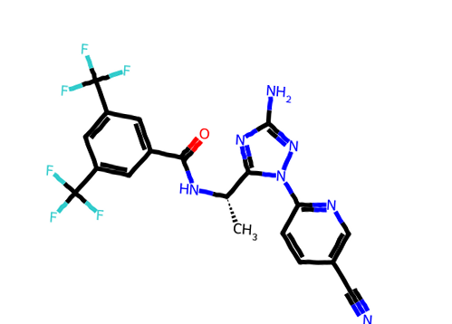 C[C@H](NC(=O)c1cc(C(F)(F)F)cc(C(F)(F)F)c1)c1nc(N)nn1-c1ccc(C#N)cn1